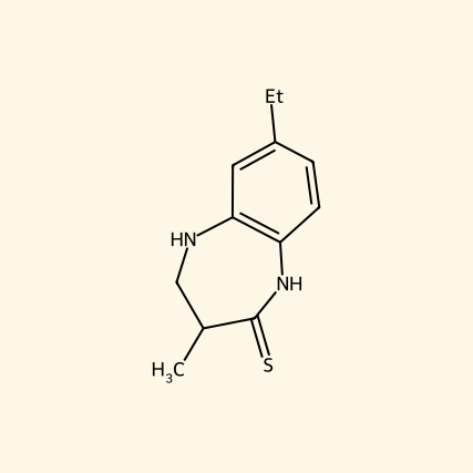 CCc1ccc2c(c1)NCC(C)C(=S)N2